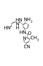 Cc1cc(C#N)cnc1C(=O)Nc1ccc(N)c(C(=N)N/C=C\C=N)c1